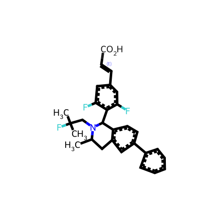 CC1Cc2cc(-c3ccccc3)ccc2C(c2c(F)cc(/C=C/C(=O)O)cc2F)N1CC(C)(C)F